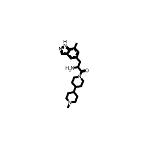 Cc1cc(CC(N)C(=O)N2CCC(C3CCN(C)CC3)CC2)cc2cn[nH]c12